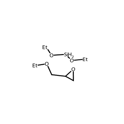 CCOCC1CO1.CCO[SiH2]OCC